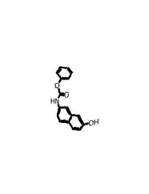 O=C(Nc1ccc2ccc(O)cc2c1)Oc1ccccc1